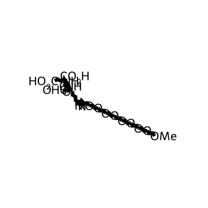 COCCOCCOCCOCCOCCOCCOCCOCCOCc1cn(CCCC[C@H](NC(=O)N[C@@H](CCC(=O)O)C(=O)O)OC=O)nn1